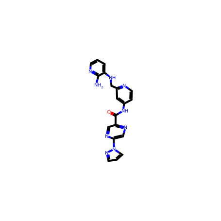 Nc1ncccc1NCc1cc(NC(=O)c2cnc(-n3cccn3)cn2)ccn1